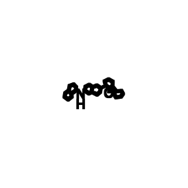 c1ccc2c(Nc3ccc4cc(-c5cccc6c5oc5ccccc56)ccc4c3)cccc2c1